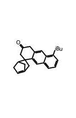 CCC(C)c1cccc2cc3c(cc12)CC(=O)CC31CC2=CCC1C2